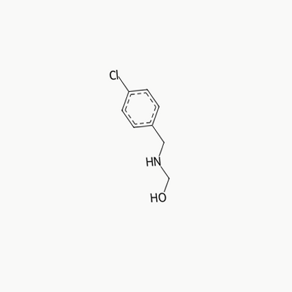 OCNCc1ccc(Cl)cc1